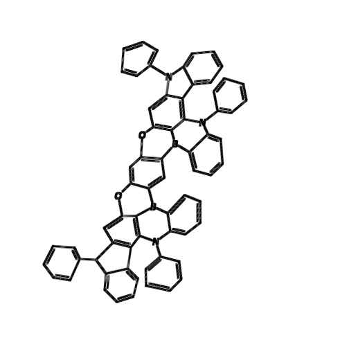 c1ccc(C2c3ccccc3-c3c2cc2c4c3N(c3ccccc3)c3ccccc3B4c3cc4c(cc3O2)Oc2cc3c(c5c2B4c2ccccc2N5c2ccccc2)c2ccccc2n3-c2ccccc2)cc1